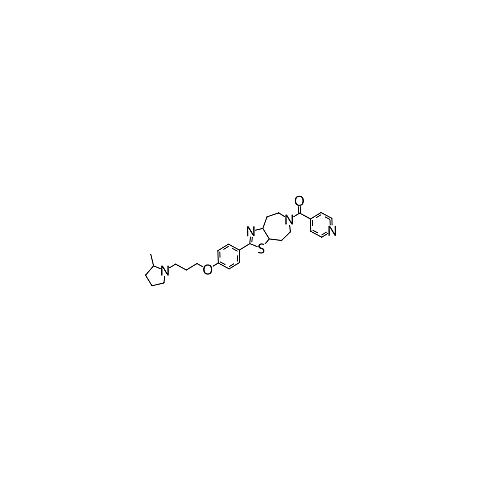 CC1CCCN1CCCOc1ccc(C2=NC3CCN(C(=O)c4ccncc4)CCC3S2)cc1